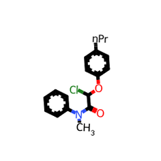 CCCc1ccc(OC(Cl)C(=O)N(C)c2ccccc2)cc1